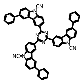 N#Cn1c2ccc(-c3ccccc3)cc2c2cc(-c3nc(-c4ccc5c(c4)c4cc(-c6ccccc6)ccc4n5C#N)nc(-c4ccc5c(c4)c4cc(-c6ccccc6)ccc4n5C#N)n3)ccc21